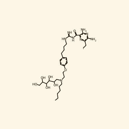 CCCCCCN(CCOc1ccc(CCCCNC(=N)NC(=O)c2nc(CI)c(N)nc2N)cc1)CC(O)C(O)C(O)C(O)CO